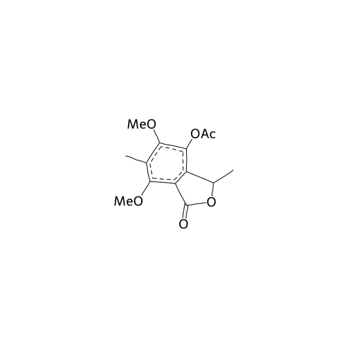 COc1c(C)c(OC)c2c(c1OC(C)=O)C(C)OC2=O